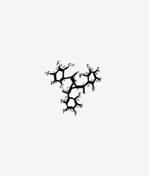 CC(=C1C(=C(C)c2c(F)c(F)c(F)c(F)c2F)C1=C(C)c1c(F)c(F)c(F)c(F)c1F)c1c(F)c(F)c(F)c(F)c1F